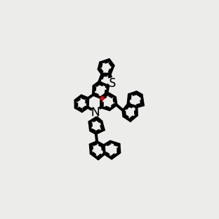 c1cc(-c2cccc3ccccc23)cc(N(c2ccc(-c3cccc4ccccc34)cc2)c2ccccc2-c2ccc3sc4ccccc4c3c2)c1